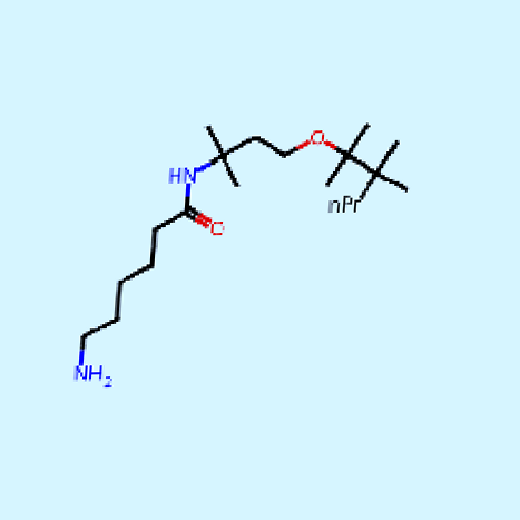 CCCC(C)(C)C(C)(C)OCCC(C)(C)NC(=O)CCCCCN